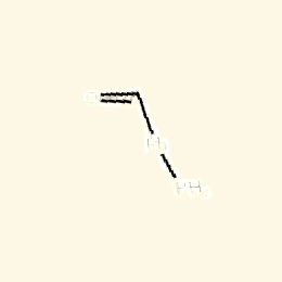 O=[CH][Rh][PH2]